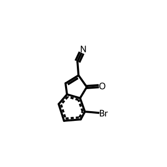 N#CC1=Cc2cccc(Br)c2C1=O